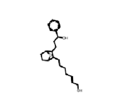 OCC=CCCCCC1C2CCC(O2)C1CCC(O)c1ccccc1